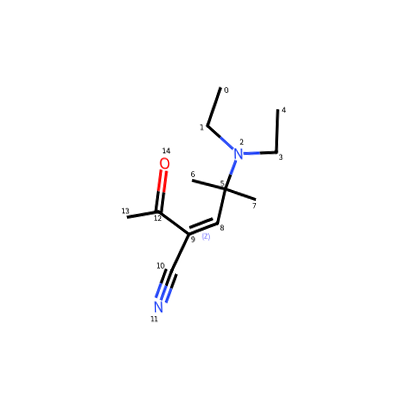 CCN(CC)C(C)(C)/C=C(/C#N)C(C)=O